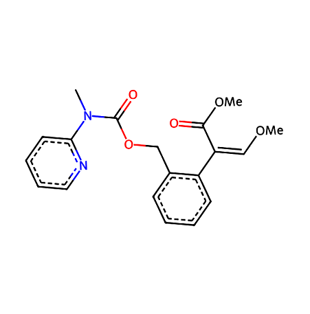 COC=C(C(=O)OC)c1ccccc1COC(=O)N(C)c1ccccn1